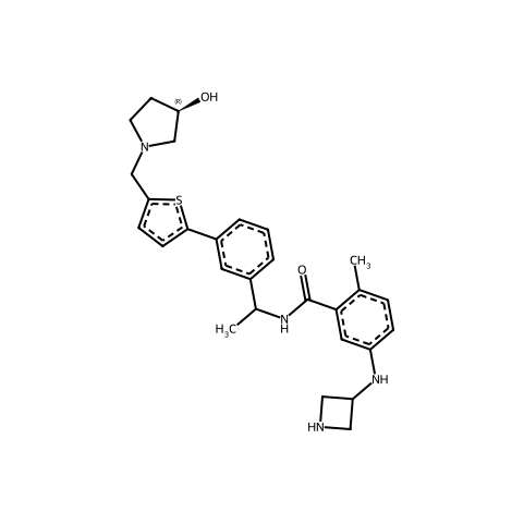 Cc1ccc(NC2CNC2)cc1C(=O)NC(C)c1cccc(-c2ccc(CN3CC[C@@H](O)C3)s2)c1